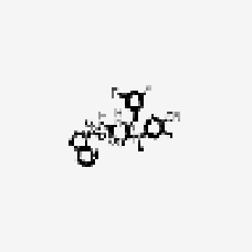 Cc1cc(N(C)C(=O)[C@H](Cc2cc(F)cc(F)c2)NC(=O)NS(=O)(=O)N2CCc3cccnc32)ccc1C#N